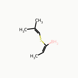 B/C(=C/C)SC=C(C)C